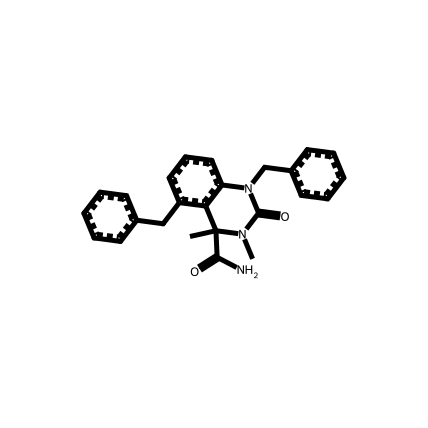 CN1C(=O)N(Cc2ccccc2)c2cccc(Cc3ccccc3)c2C1(C)C(N)=O